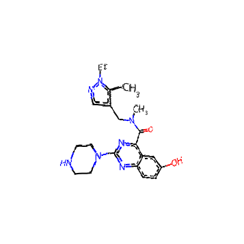 CCn1ncc(CN(C)C(=O)c2nc(N3CCNCC3)nc3ccc(O)cc23)c1C